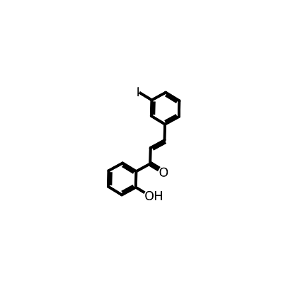 O=C(C=Cc1cccc(I)c1)c1ccccc1O